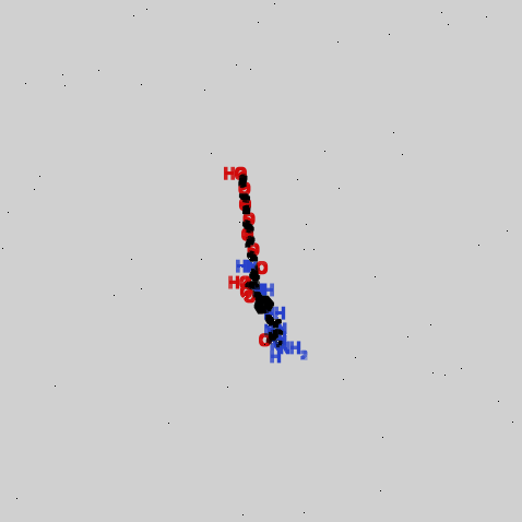 Nc1nc2ncc(CNc3ccc(C(=O)N[C@@H](CCC(=O)NCCOCCOCCOCCOCCOCCO)C(=O)O)cc3)nc2c(=O)[nH]1